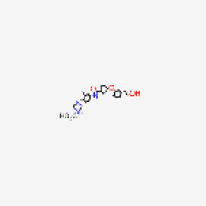 Cc1cc(N(C)C(=O)C2CCC(Oc3cccc(CCO)c3)CC2)ccc1CN1CCN(C(=O)O)[C@@H](C)C1